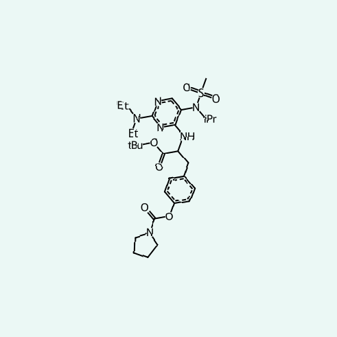 CCN(CC)c1ncc(N(C(C)C)S(C)(=O)=O)c(NC(Cc2ccc(OC(=O)N3CCCC3)cc2)C(=O)OC(C)(C)C)n1